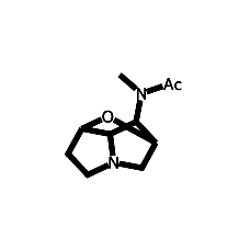 CC(=O)N(C)C1C2CN3CCC(O2)C13